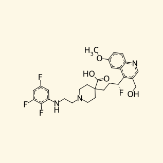 COc1ccc2ncc(CO)c([C@H](F)CCC3(C(=O)O)CCN(CCNc4cc(F)cc(F)c4F)CC3)c2c1